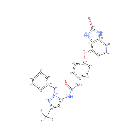 CC(C)(C)c1cc(NC(=O)Nc2ccc(Oc3ccnc4[nH]c(=O)[nH]c34)cc2)n(Cc2ccccc2)n1